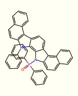 O=P(c1ccccc1)(c1ccccc1)n1c2ccc3ccccc3c2c2ccc3c4c5ccccc5ccc4n(-c4ccccc4)c3c21